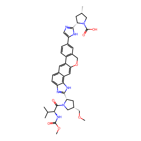 COC[C@H]1C[C@@H](c2nc3ccc4cc5c(cc4c3[nH]2)OCc2cc(-c3cnc([C@@H]4C[C@H](C)CN4C(=O)O)[nH]3)ccc2-5)N(C(=O)[C@@H](NC(=O)OC)C(C)C)C1